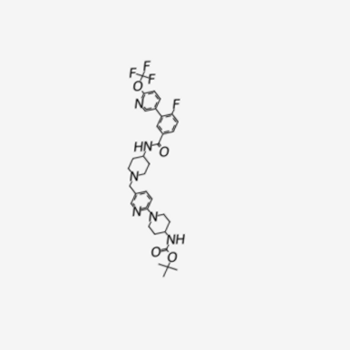 CC(C)(C)OC(=O)NC1CCN(c2ccc(CN3CCC(NC(=O)c4ccc(F)c(-c5ccc(OC(F)(F)F)nc5)c4)CC3)cn2)CC1